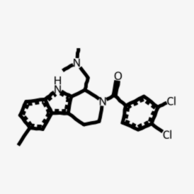 Cc1ccc2[nH]c3c(c2c1)CCN(C(=O)c1ccc(Cl)c(Cl)c1)C3CN(C)C